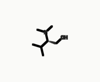 CC(C)[C@@H](CO)N(C)C